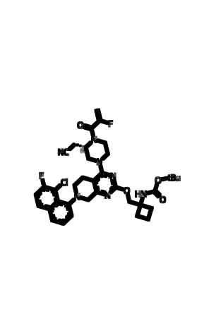 C=C(F)C(=O)N1CCN(c2nc(OCC3(NC(=O)OC(C)(C)C)CCC3)nc3c2CCN(c2cccc4ccc(F)c(Cl)c24)C3)C[C@@H]1CC#N